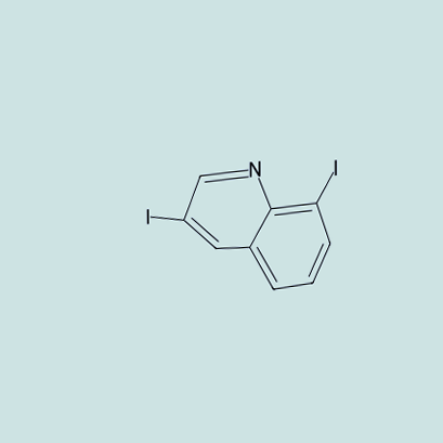 Ic1cnc2c(I)cccc2c1